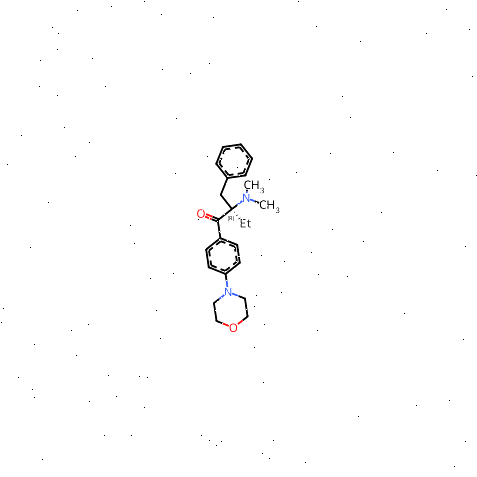 CC[C@@](Cc1ccccc1)(C(=O)c1ccc(N2CCOCC2)cc1)N(C)C